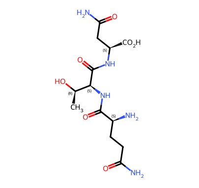 C[C@@H](O)[C@H](NC(=O)[C@@H](N)CCC(N)=O)C(=O)N[C@@H](CC(N)=O)C(=O)O